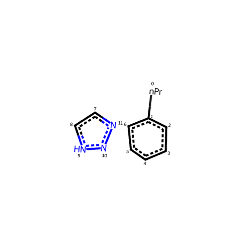 CCCc1ccccc1.c1c[nH]nn1